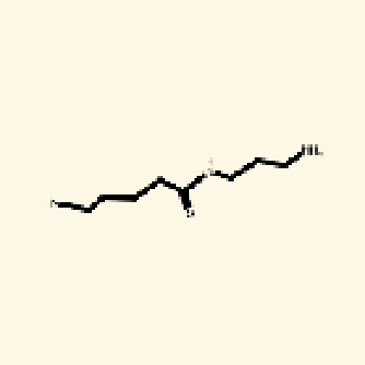 [NH]CCCCC(=O)NCCCN